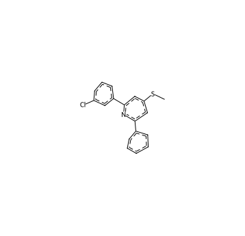 CSc1cc(-c2ccccc2)nc(-c2cccc(Cl)c2)c1